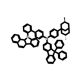 C[C@H]1CC2C[C@H](C)CC(c3ccc(N(c4ccc(-c5ccccc5N5c6ccccc6C6C=Cc7ccccc7C65)cc4)c4ccc5c(c4)C(c4ccccc4)(c4ccccc4)c4ccccc4-5)cc3)(C2)C1